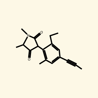 CC#Cc1cc(C)c(C2C(=O)C(C)N(C)C2=O)c(CC)c1